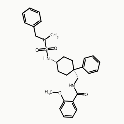 COc1ccccc1C(=O)NC[C@]1(c2ccccc2)CC[C@H](NS(=O)(=O)N(C)Cc2ccccc2)CC1